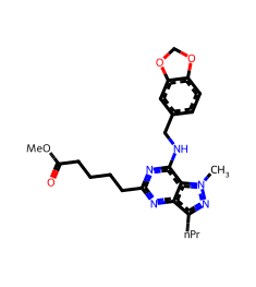 CCCc1nn(C)c2c(NCc3ccc4c(c3)OCO4)nc(CCCCC(=O)OC)nc12